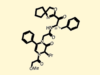 COCC(=O)N1C=C(c2ccccc2)N(CC(=O)N[C@@H](Cc2ccccc2)C(=O)C2=NC3(CCCC3)CO2)C(=O)C1C(C)C